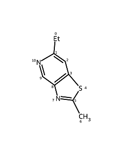 CCc1cc2sc(C)nc2cn1